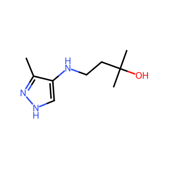 Cc1n[nH]cc1NCCC(C)(C)O